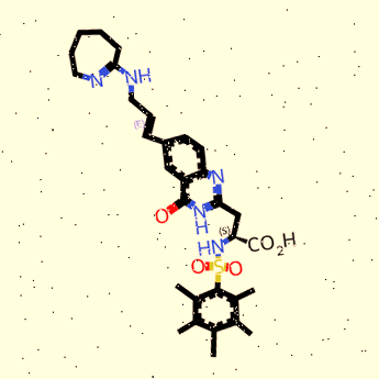 Cc1c(C)c(C)c(S(=O)(=O)N[C@@H](Cc2nc3ccc(/C=C/CNC4=NCCCCC4)cc3c(=O)[nH]2)C(=O)O)c(C)c1C